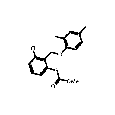 COC(=O)Sc1cccc(Cl)c1COc1ccc(C)cc1C